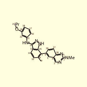 CNc1ncc2cc(-c3c(C)ccc4c(Nc5cccc(OC(C)C)c5)n[nH]c34)ccc2n1